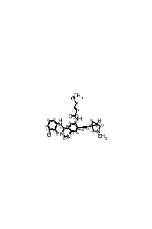 COC/C=C/C(=O)Nc1cc2c(Nc3cccc(Cl)c3F)ncnc2cc1C#C[C@@]12C[C@@H]1CN(C)C2